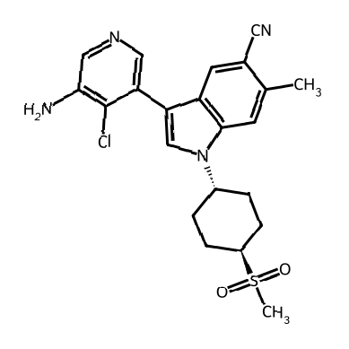 Cc1cc2c(cc1C#N)c(-c1cncc(N)c1Cl)cn2[C@H]1CC[C@H](S(C)(=O)=O)CC1